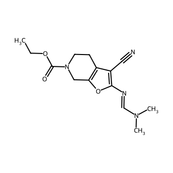 CCOC(=O)N1CCc2c(oc(/N=C/N(C)C)c2C#N)C1